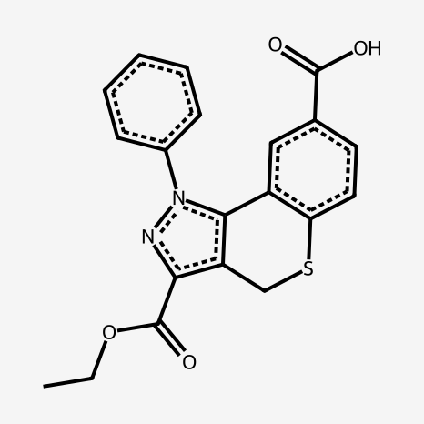 CCOC(=O)c1nn(-c2ccccc2)c2c1CSc1ccc(C(=O)O)cc1-2